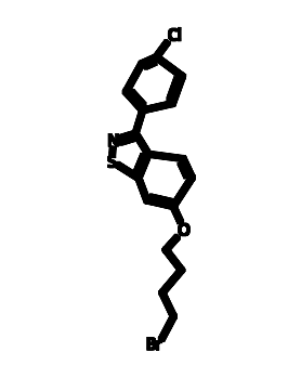 Clc1ccc(-c2nsc3cc(OCCCCBr)ccc23)cc1